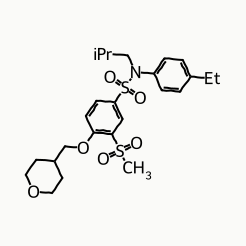 CCc1ccc(N(CC(C)C)S(=O)(=O)c2ccc(OCC3CCOCC3)c(S(C)(=O)=O)c2)cc1